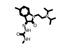 CNC(=O)NN=C1C(=O)N(CCN(C(C)C)C(C)C)c2ccc(C)cc21